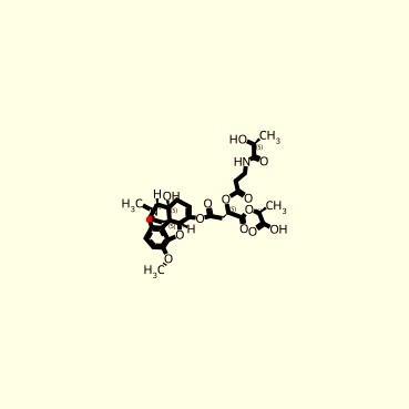 COc1ccc2c3c1O[C@H]1C(OC(=O)C[C@H](OC(=O)CCNC(=O)[C@H](C)O)C(=O)O[C@@H](C)C(=O)O)=CC[C@@]4(O)[C@@H](C2)N(C)CC[C@]314